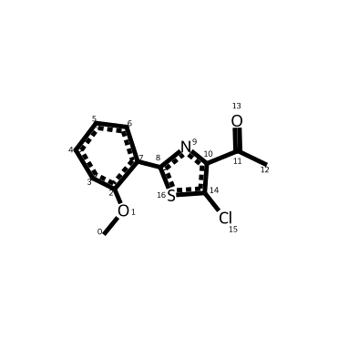 COc1ccccc1-c1nc(C(C)=O)c(Cl)s1